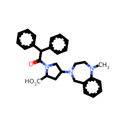 CN1CCN(C2CC(C(=O)O)N(C(=O)C(c3ccccc3)c3ccccc3)C2)Cc2ccccc21